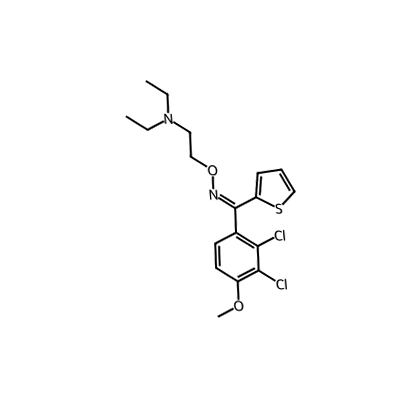 CCN(CC)CCON=C(c1cccs1)c1ccc(OC)c(Cl)c1Cl